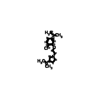 CN(C)C1CCN(CCOc2cc([SH](C)C)ccc2Cl)C1